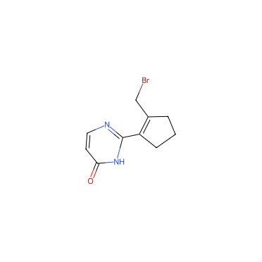 O=c1ccnc(C2=C(CBr)CCC2)[nH]1